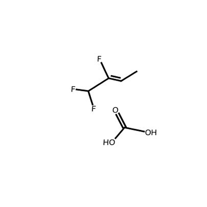 CC=C(F)C(F)F.O=C(O)O